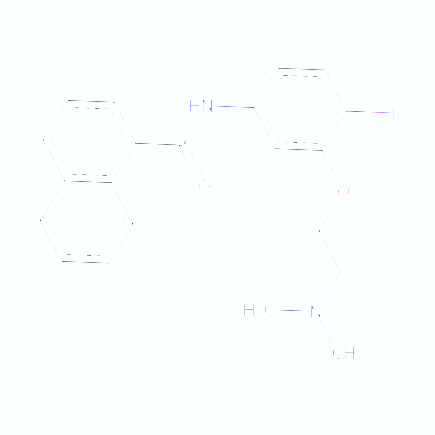 CN(C)CCOc1cc(NC(=O)c2cccc3ccccc23)ccc1I